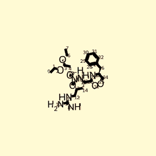 CCOC(C)OCC.N=C(N)NCCC[C@H](N[N+](=O)[O-])C(=O)N[C@H](C=O)Cc1ccccc1